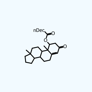 CCCCCCCCCCC(=O)OC1CC(=O)C=C2CCC3C4CCCC4(C)CCC3C21C